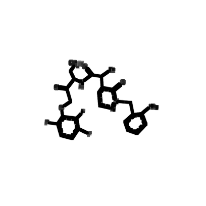 CCC(C(=O)NC(CC(=O)O)C(=O)COc1c(F)ccc(F)c1F)c1ccnn(Cc2ccccc2C(C)(C)C)c1=O